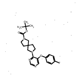 CC(C)(C)OC(=O)N1CCC2(CCN(c3ncncc3Oc3ccc(F)cc3)C2)C1